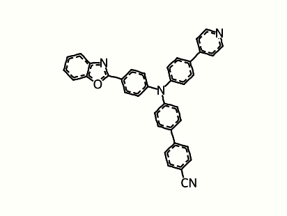 N#Cc1ccc(-c2ccc(N(c3ccc(-c4ccncc4)cc3)c3ccc(-c4nc5ccccc5o4)cc3)cc2)cc1